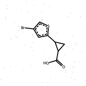 O=C(O)C1CC1c1cc(Br)cs1